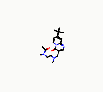 CC(=O)N(C)CCN(C)Cc1cnc2cc(C(C)(C)C)ccn2c1=O